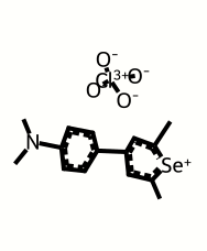 Cc1cc(-c2ccc(N(C)C)cc2)cc(C)[se+]1.[O-][Cl+3]([O-])([O-])[O-]